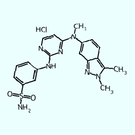 Cc1c2ccc(N(C)c3ccnc(Nc4cccc(S(N)(=O)=O)c4)n3)cc2nn1C.Cl